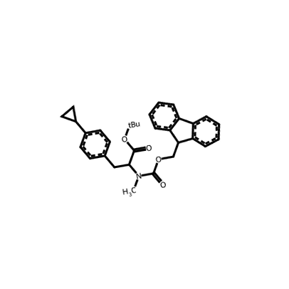 CN(C(=O)OCC1c2ccccc2-c2ccccc21)C(Cc1ccc(C2CC2)cc1)C(=O)OC(C)(C)C